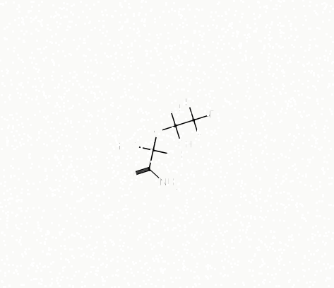 CC(C)(OC(C)(C)C(F)(F)F)C(N)=O